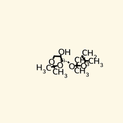 C=CC(C)OC(C)(C)OC[C@@H]1OC(C)(C)OCC1O